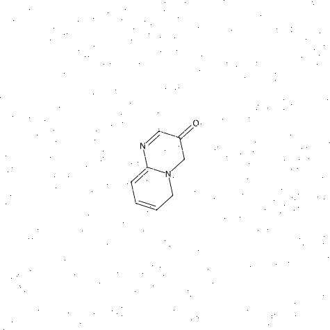 O=C1[C]=NC2=CC=CCN2C1